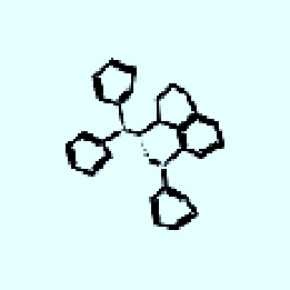 c1ccc(P(C[C@@H](C2CCCCC2)P(c2ccccc2)c2ccccc2)c2ccccc2)cc1